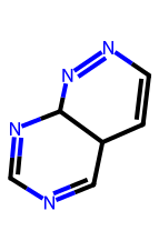 C1=CC2C=NC=NC2N=N1